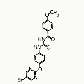 COc1ccc(C(=O)NC(=O)Nc2ccc(Oc3ncc(Br)cn3)cc2)cc1